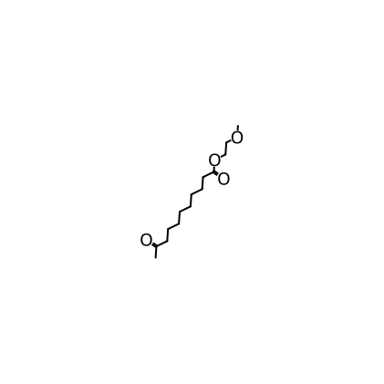 COCCOC(=O)CCCCCCCCC(C)=O